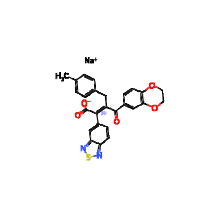 Cc1ccc(C/C(C(=O)c2ccc3c(c2)OCCO3)=C(\C(=O)[O-])c2ccc3nsnc3c2)cc1.[Na+]